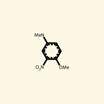 CNc1ccc(OC)c([N+](=O)[O-])c1